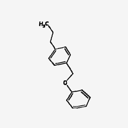 CCCc1ccc(COc2ccccc2)cc1